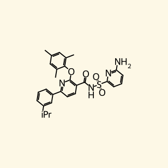 Cc1cc(C)c(Oc2nc(-c3cccc(C(C)C)c3)ccc2C(=O)NS(=O)(=O)c2cccc(N)n2)c(C)c1